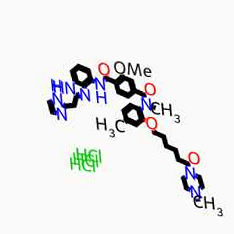 COc1cc(C(=O)N(C)c2ccc(C)cc2OCCCCCC(=O)N2CCN(C)CC2)ccc1C(=O)Nc1cccc2[nH]c(Cc3ncc[nH]3)nc12.Cl.Cl.Cl